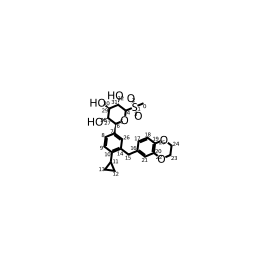 CS(=O)(=O)C1O[C@@H](c2ccc(C3CC3)c(Cc3ccc4c(c3)OCCO4)c2)[C@H](O)[C@@H](O)[C@@H]1O